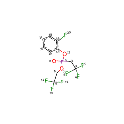 O=P(CC(F)(F)F)(OCC(F)(F)F)Oc1ccccc1F